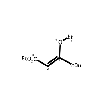 CCCC/C(=C/C(=O)OCC)OCC